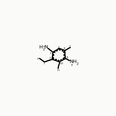 CCc1c(N)cc(C)c(N)c1C